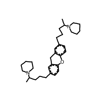 CC(CCCc1ccc2c(c1)Cc1cc(CCCC(C)N3CCCCC3)ccc1O2)N1CCCCC1